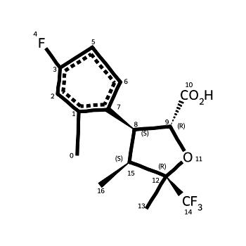 Cc1cc(F)ccc1[C@H]1[C@H](C(=O)O)O[C@@](C)(C(F)(F)F)[C@H]1C